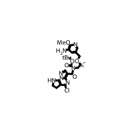 COc1ncc(CO[C@H](C)CN(C(=O)OC(C)(C)C)C(=O)c2cnn3c4c(c(Cl)nc23)CCN4)cc1N